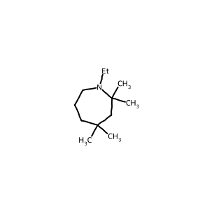 CCN1CCCC(C)(C)CC1(C)C